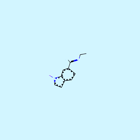 C/C(=N\CC(C)(C)C)c1ccc2ccn(I)c2c1